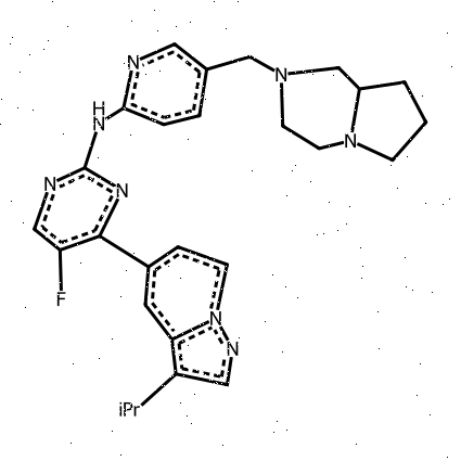 CC(C)c1cnn2ccc(-c3nc(Nc4ccc(CN5CCN6CCCC6C5)cn4)ncc3F)cc12